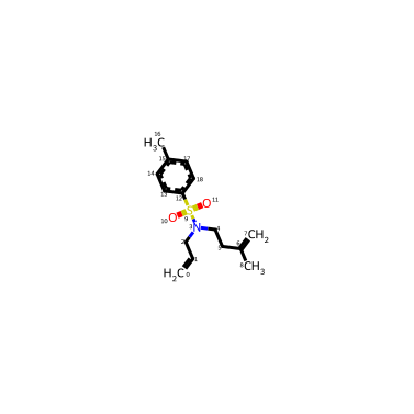 C=CCN(CCC(=C)C)S(=O)(=O)c1ccc(C)cc1